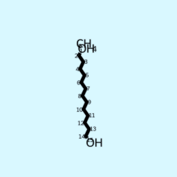 C.OCCCCCCCCCCCCCO